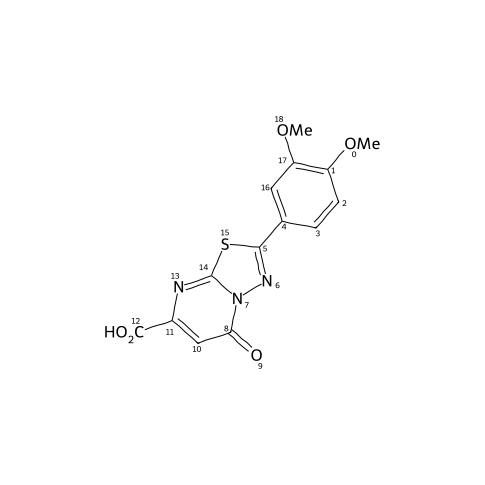 COc1ccc(-c2nn3c(=O)cc(C(=O)O)nc3s2)cc1OC